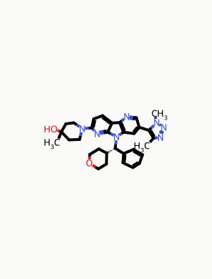 Cc1nnn(C)c1-c1cnc2c3ccc(N4CCC(C)(O)CC4)nc3n([C@H](c3ccccc3)C3CCOCC3)c2c1